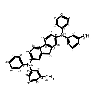 Cc1cccc(N(c2ccccc2)c2ccc3c(c2)Cc2cc(N(c4ccccc4)c4cccc(C)c4)ccc2-3)c1